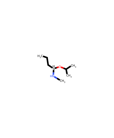 CCC[SiH](NC)OC(C)C